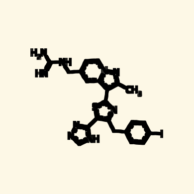 Cc1nn2ccc(CNC(=N)N)cc2c1-c1nc(Cc2ccc(I)cc2)c(-c2nnc[nH]2)s1